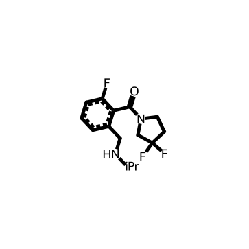 CC(C)NCc1cccc(F)c1C(=O)N1CCC(F)(F)C1